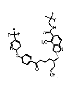 CCCC(CCCC(=O)c1ccc(OC2CC=C(C(F)(F)F)C=N2)cc1)Cp1cc2c(C)c(C(=O)NCC(F)(F)F)ccc2n1